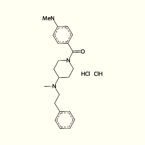 CNc1ccc(C(=O)N2CCC(N(C)CCc3ccccc3)CC2)cc1.Cl.Cl